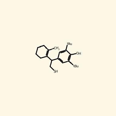 CC1=C(C(CS)c2cc(C(C)(C)C)c(O)c(C(C)(C)C)c2)CCCC1